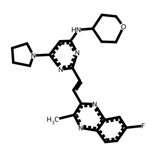 Cc1nc2ccc(F)cc2nc1/C=C/c1nc(NC2CCOCC2)cc(N2CCCC2)n1